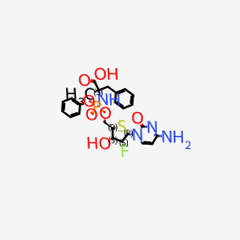 C[C@@](Cc1ccccc1)(NP(=O)(OC[C@H]1S[C@@H](n2ccc(N)nc2=O)[C@@H](F)[C@@H]1O)Oc1ccccc1)C(=O)O